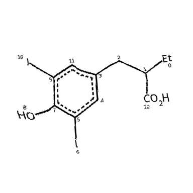 CCC(Cc1cc(I)c(O)c(I)c1)C(=O)O